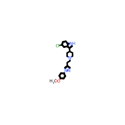 COc1ccc(-n2cc(CCN3CCC(c4c[nH]c5ccc(Cl)cc45)CC3)cn2)cc1